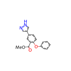 COC(=O)c1cc(-c2cn[nH]c2)ccc1Oc1ccccc1